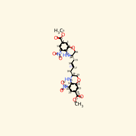 COC(=O)c1cc2c(c([N+](=O)[O-])c1)N[C@@H](C/C=C/C[C@H]1COc3cc(C(=O)OC)cc([N+](=O)[O-])c3N1)CO2